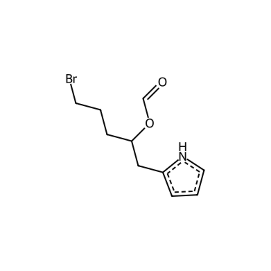 O=COC(CCCBr)Cc1ccc[nH]1